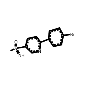 CS(=N)(=O)c1ccc(-c2ccc(Br)cc2)nc1